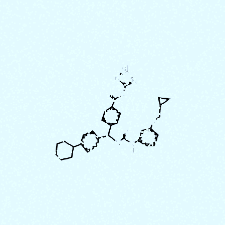 O=C(Nc1cccc(SCC2CC2)c1)NC(c1ccc(C(=O)Nc2nn[nH]n2)cc1)c1ccc(C2CCCCC2)cc1